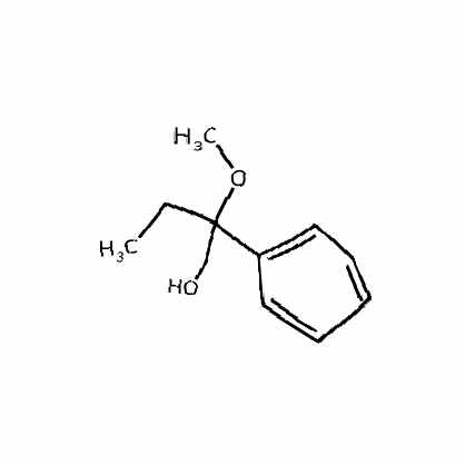 CCC(O)(OC)c1ccccc1